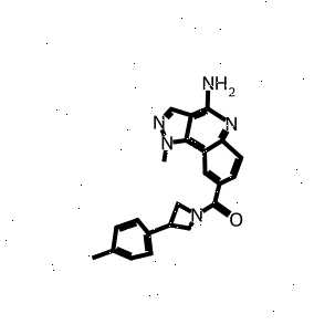 Cc1ccc(C2CN(C(=O)c3ccc4nc(N)c5cnn(C)c5c4c3)C2)cc1